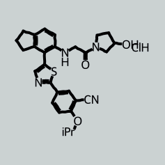 CC(C)Oc1ccc(-c2ncc(-c3c(NCC(=O)N4CCC(O)C4)ccc4c3CCC4)s2)cc1C#N.Cl